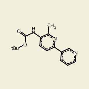 Cc1nc(-c2cccnc2)ccc1NC(=O)OC(C)(C)C